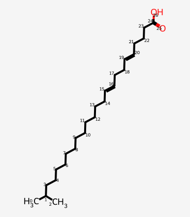 CC(C)CCCCCCCCCCCCC=CCCC=CCCCC(=O)O